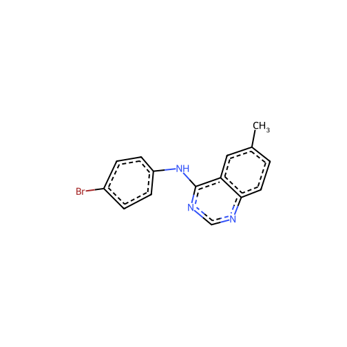 Cc1ccc2ncnc(Nc3ccc(Br)cc3)c2c1